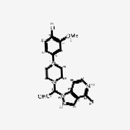 COc1cc(N2CCN(C(C=O)n3ncc4c(I)nccc43)CC2)ccc1Cl